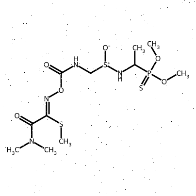 COP(=S)(OC)C(C)N[S+]([O-])CNC(=O)ON=C(SC)C(=O)N(C)C